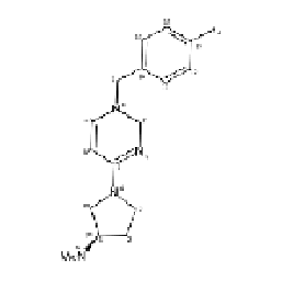 CN[C@@H]1CCN(C2=NCN(Cc3ccc(C)cc3)C=C2)C1